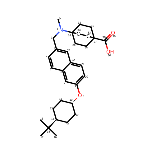 CN(Cc1ccc2cc(O[C@H]3CC[C@H](C(C)(C)C)CC3)ccc2c1)C12CCC(C(=O)O)(CC1)CC2